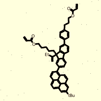 C=CC(=O)OCCCCCC1(C(=C)CC)c2cc(-c3ccc(CCCOC(=O)C=C)cc3)ccc2-c2ccc(-c3ccc4ccc5cc(C(C)(C)C)cc6ccc3c4c56)cc21